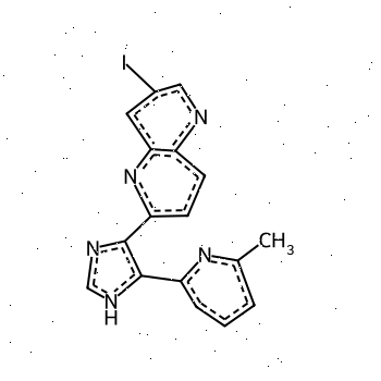 Cc1cccc(-c2[nH]cnc2-c2ccc3ncc(I)cc3n2)n1